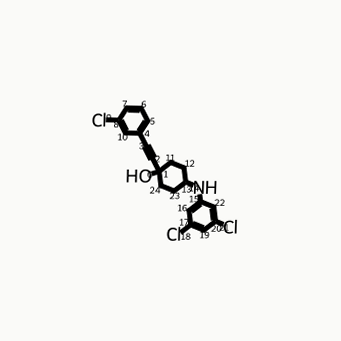 OC1(C#Cc2cccc(Cl)c2)CCC(Nc2cc(Cl)cc(Cl)c2)CC1